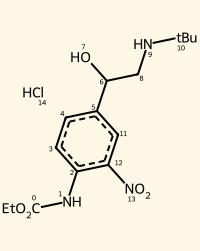 CCOC(=O)Nc1ccc(C(O)CNC(C)(C)C)cc1[N+](=O)[O-].Cl